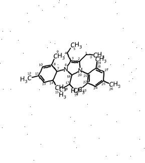 CCC1=C(CC)N(C2C(C)=CC(C)=CC2C)C(C(C)C)N1c1c(C)cc(C)cc1C